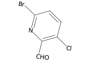 O=Cc1nc(Br)ccc1Cl